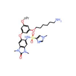 CCCOc1cc(OCCCCCCN)cc(Oc2cc3c(cc2NS(=O)(=O)c2cn(C)cn2)n(C)c(=O)n3C)c1